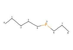 CCCCC[P]CCC